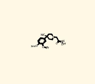 COc1ccc(C2(C#N)CCN(CC(=O)NO)CC2)cc1OC(C)C